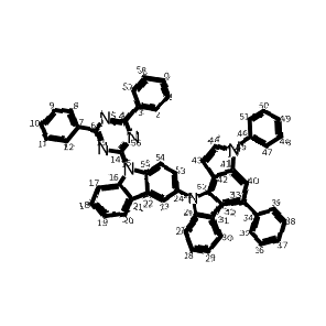 c1ccc(-c2nc(-c3ccccc3)nc(-n3c4ccccc4c4cc(-n5c6ccccc6c6c(-c7ccccc7)cc7c(ccn7-c7ccccc7)c65)ccc43)n2)cc1